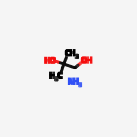 CC(C)(O)CO.N